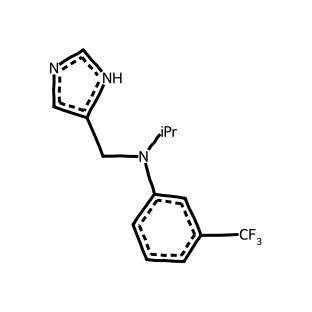 CC(C)N(Cc1cnc[nH]1)c1cccc(C(F)(F)F)c1